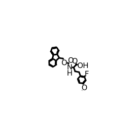 COc1ccc(CCC(NC(=O)OCC2c3ccccc3-c3ccccc32)C(=O)O)c(F)c1